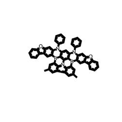 Cc1cc2c3c(c1)c1cc(C)cc4c1n3-c1c3c(cc5c1B4c1cc4c(cc1N5c1ccccc1)oc1ccccc14)N(c1ccccc1)c1cc4oc5ccccc5c4cc1B32